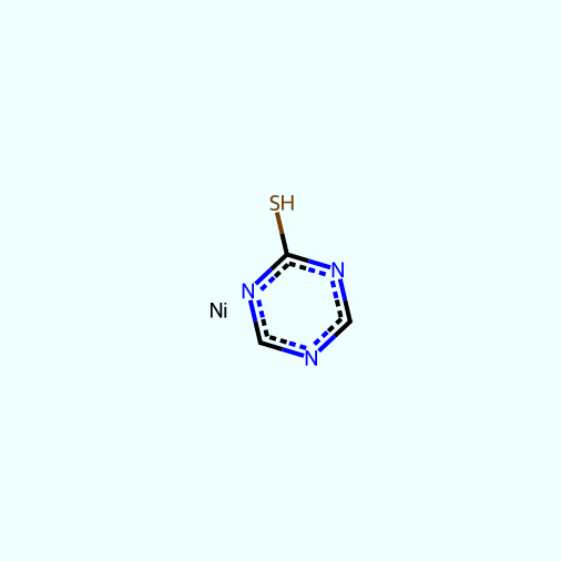 Sc1ncncn1.[Ni]